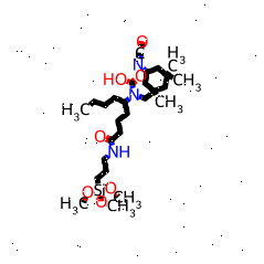 CCCCC(CCCC(=O)NCCC[Si](OC)(OC)OC)N(CC1(C)CC(N=C=O)CC(C)(C)C1)C(=O)O